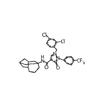 O=C(NC12CCCC3CC(CC3C1)C2)c1cn(Cc2ccc(Cl)cc2Cl)n(-c2ccc(C(F)(F)F)cc2)c1=O